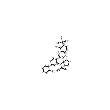 O=C(O)C1c2cc(-c3ccccc3F)ccc2C(=O)N(Cc2ccc(C(F)(F)F)c(F)c2)C12CCCC2